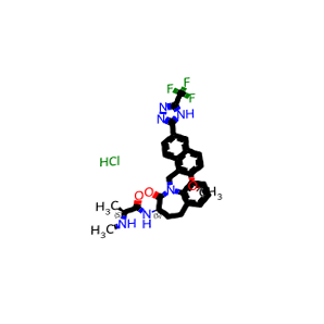 CN[C@@H](C)C(=O)N[C@H]1CCc2ccccc2N(Cc2c(OC)ccc3cc(-c4nnc(C(F)(F)F)[nH]4)ccc23)C1=O.Cl